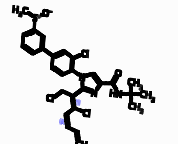 C=C/C=C\C(Cl)=C(/CCl)c1nc(C(=O)NC(C)(C)C)cn1-c1ccc(-c2cccc([S+](C)[O-])c2)cc1Cl